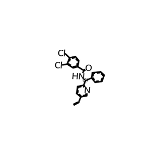 C=Cc1ccc([C@@H](NC(=O)c2ccc(Cl)c(Cl)c2)c2ccccc2)nc1